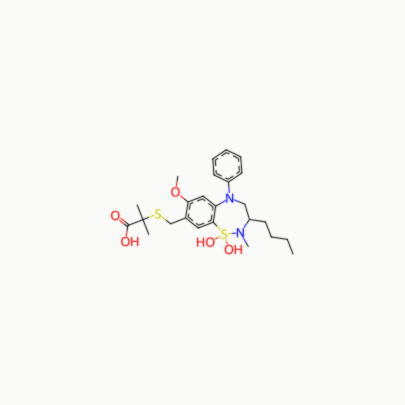 CCCCC1CN(c2ccccc2)c2cc(OC)c(CSC(C)(C)C(=O)O)cc2S(O)(O)N1C